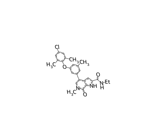 CCNC(=O)c1cc2c(-c3cc(C)cc(Oc4c(C)cc(Cl)cc4C)c3)cn(C)c(=O)c2[nH]1